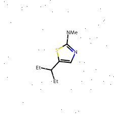 CCC(CC)c1cnc(NC)s1